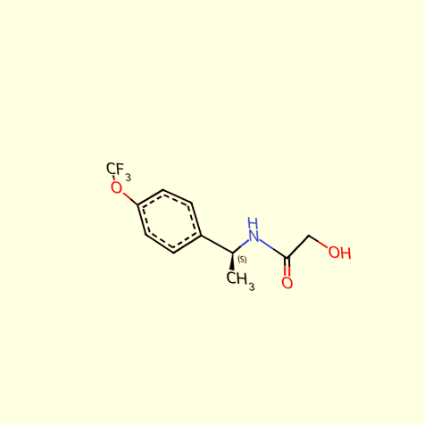 C[C@H](NC(=O)CO)c1ccc(OC(F)(F)F)cc1